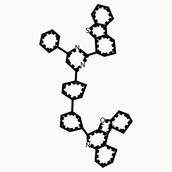 c1ccc(-c2cc(-c3ccc(-c4cccc(-c5nc6ccccc6c6c5oc5ccccc56)c4)cc3)nc(-c3cccc4c3sc3ccccc34)n2)cc1